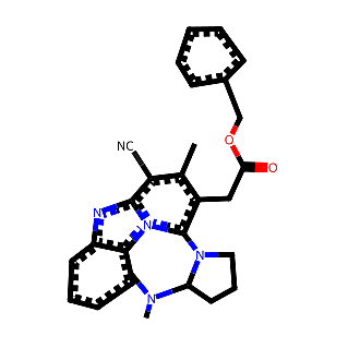 Cc1c(CC(=O)OCc2ccccc2)c(N2CCCC2N(C)C)n2c(nc3ccccc32)c1C#N